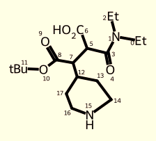 CCN(CC)C(=O)C(C(=O)O)C(C(=O)OC(C)(C)C)C1CCNCC1